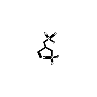 C=CC(CS(=O)(=O)F)CS(=O)(=O)F